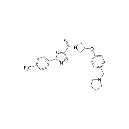 O=C(c1nnc(-c2ccc(C(F)(F)F)cc2)o1)N1CC(Oc2ccc(CN3CCCC3)cc2)C1